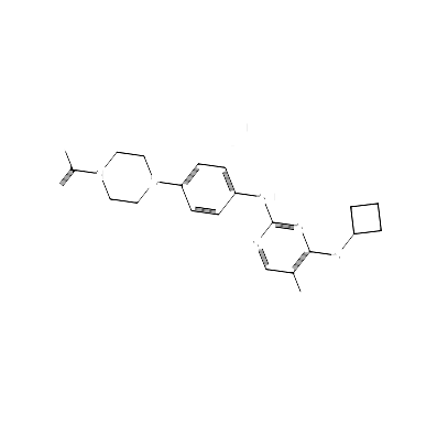 CC(=O)N1CCN(c2ccc(Nc3ncc(F)c(NC4CCC4)n3)cc2)CC1.Cl.Cl